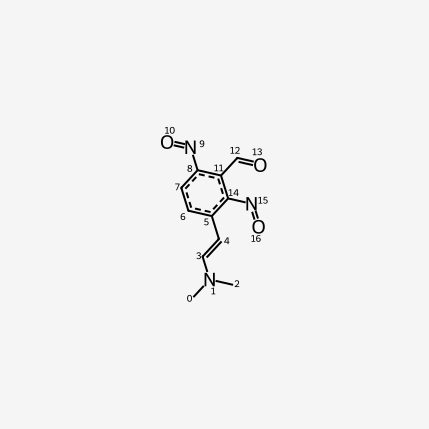 CN(C)/C=C/c1ccc(N=O)c(C=O)c1N=O